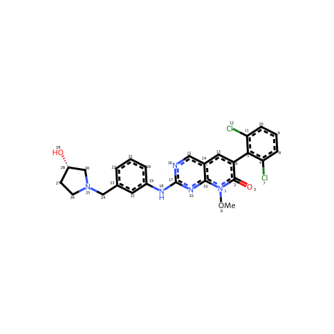 COn1c(=O)c(-c2c(Cl)cccc2Cl)cc2cnc(Nc3cccc(CN4CC[C@H](O)C4)c3)nc21